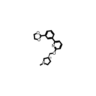 CN1CC[C@H](COc2cccc(-c3cccc(C4OCCO4)c3)n2)C1